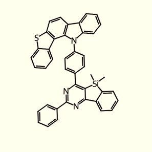 C[Si]1(C)c2ccccc2-c2nc(-c3ccccc3)nc(-c3ccc(-n4c5ccccc5c5ccc6sc7ccccc7c6c54)cc3)c21